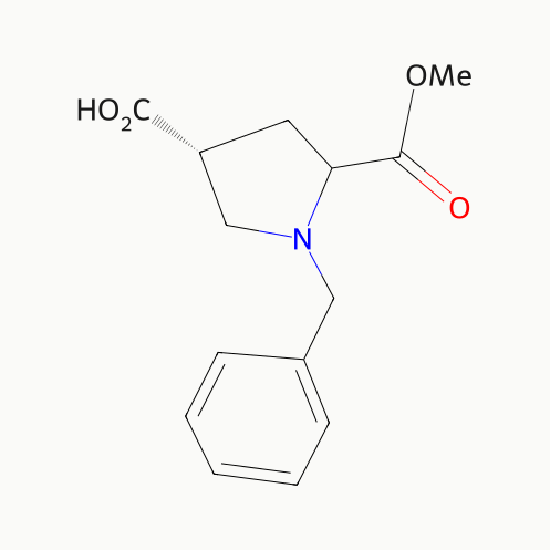 COC(=O)C1C[C@@H](C(=O)O)CN1Cc1ccccc1